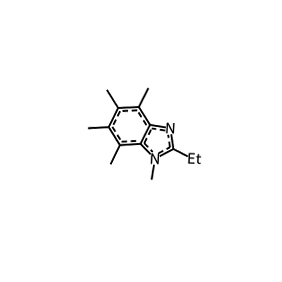 CCc1nc2c(C)c(C)c(C)c(C)c2n1C